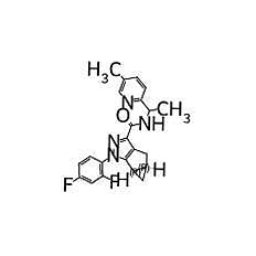 Cc1ccc(C(C)NC(=O)c2nn(-c3ccc(F)cc3F)c3c2C[C@H]2C[C@@H]32)nc1